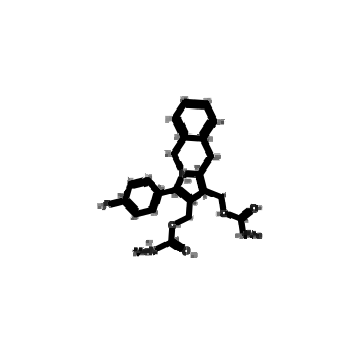 CNC(=O)OCc1c(COC(=O)NC)c(-c2ccc(F)cc2)n2c1Cc1ccccc1C2